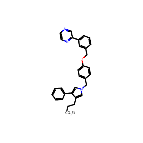 CCOC(=O)CCc1cn(Cc2ccc(OCc3cccc(-c4cnccn4)c3)cc2)cc1-c1ccccc1